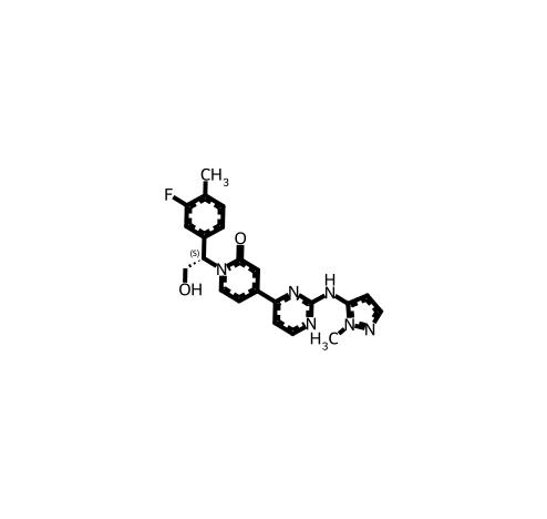 Cc1ccc([C@@H](CO)n2ccc(-c3ccnc(Nc4ccnn4C)n3)cc2=O)cc1F